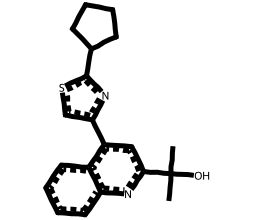 CC(C)(O)c1cc(-c2csc(C3CCCC3)n2)c2ccccc2n1